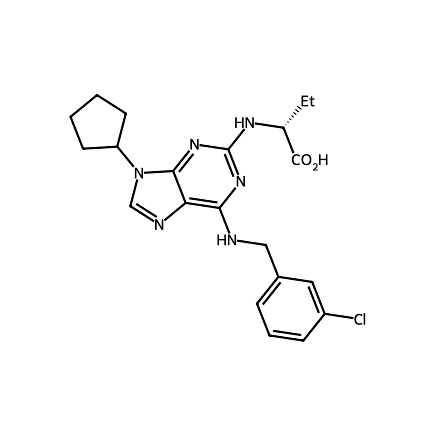 CC[C@@H](Nc1nc(NCc2cccc(Cl)c2)c2ncn(C3CCCC3)c2n1)C(=O)O